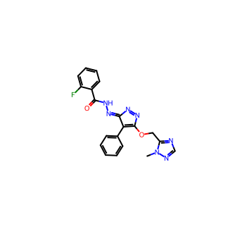 Cn1ncnc1COC1=C(c2ccccc2)C(=NNC(=O)c2ccccc2F)N=N1